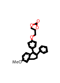 COc1ccc2c(c1)CCC(c1ccccc1)=C2c1ccc(OCC2COC(=O)O2)cc1